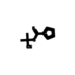 CC(C)(C#N)SC(=S)n1cccc1